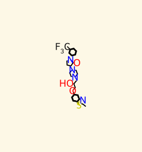 Cc1nc2cc(OC[C@H](O)CN3CCN(C4CCN(c5cccc(C(F)(F)F)c5)C4=O)CC3)ccc2s1